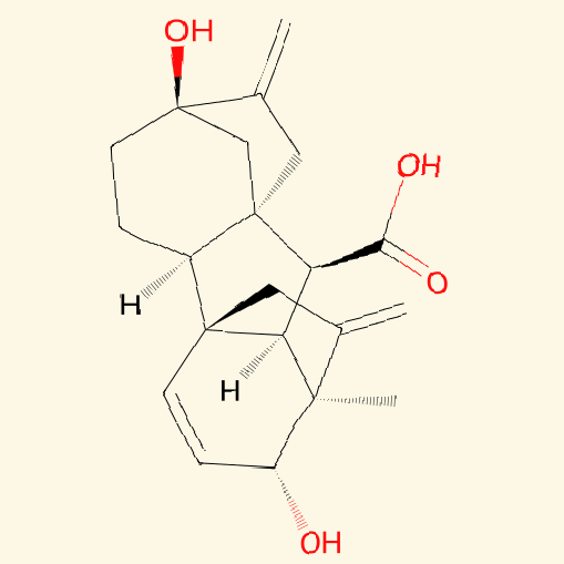 C=C1C[C@@]23C[C@]1(O)CC[C@@H]2[C@]12C=C[C@@H](O)[C@](C)(C(=C)C1)[C@@H]2[C@@H]3C(=O)O